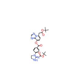 CC(C)(C)OC(=O)Cc1ccc(OC(=O)c2ccc(N3CCN/C3=N/C(=O)OC(C)(C)C)cc2)c2ncnn12